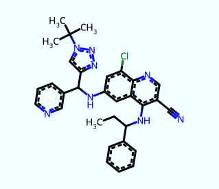 CCC(Nc1c(C#N)cnc2c(Cl)cc(NC(c3cccnc3)c3cn(C(C)(C)C)nn3)cc12)c1ccccc1